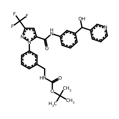 CC(C)(C)OC(=O)NCc1cccc(-n2nc(C(F)(F)F)cc2C(=O)Nc2cccc(C(O)c3cccnc3)c2)c1